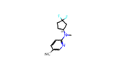 CN(c1ccc(C#N)cn1)[C@H]1CCC(F)(F)C1